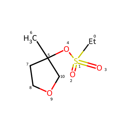 CCS(=O)(=O)OC1(C)CCOC1